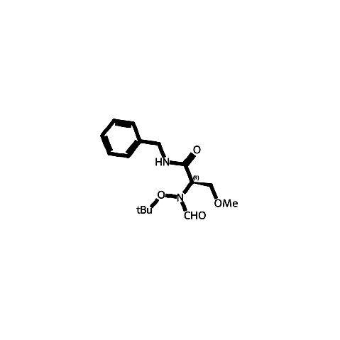 COC[C@H](C(=O)NCc1ccccc1)N(C=O)OC(C)(C)C